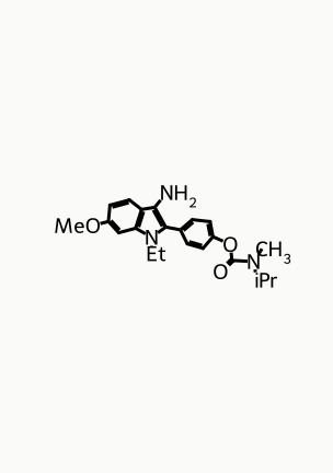 CCn1c(-c2ccc(OC(=O)N(C)C(C)C)cc2)c(N)c2ccc(OC)cc21